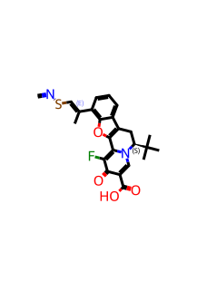 C=NS/C=C(\C)c1cccc2c3c(oc12)-c1c(F)c(=O)c(C(=O)O)cn1[C@H](C(C)(C)C)C3